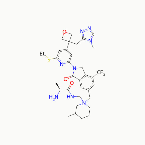 CCSc1cc(C2(Cc3nncn3C)COC2)cc(N2Cc3c(cc(C[N+]4(CNC(=O)[C@H](C)N)CCCC(C)C4)cc3C(F)(F)F)C2=O)n1